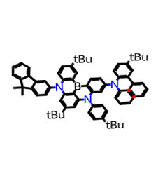 CC(C)(C)c1ccc(N2c3cc(N(c4ccccc4)c4ccc(C(C)(C)C)cc4-c4ccccc4)ccc3B3c4cc(C(C)(C)C)ccc4N(c4ccc5c(c4)-c4ccccc4C5(C)C)c4cc(C(C)(C)C)cc2c43)cc1